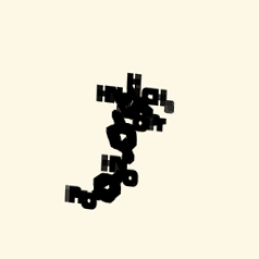 CC(C)CC1(C)NC(=N)N(Cc2ccc(CNC(=O)c3ccc(OC(C)C)cc3)cc2)C1=O